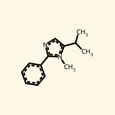 CC(C)c1cnc(-c2ccccc2)n1C